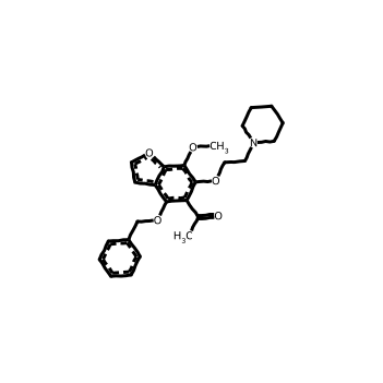 COc1c(OCCN2CCCCC2)c(C(C)=O)c(OCc2ccccc2)c2ccoc12